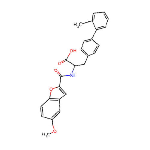 COc1ccc2oc(C(=O)NC(Cc3ccc(-c4ccccc4C)cc3)C(=O)O)cc2c1